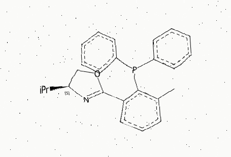 Cc1cccc(C2=N[C@@H](C(C)C)CO2)c1P(c1ccccc1)c1ccccc1